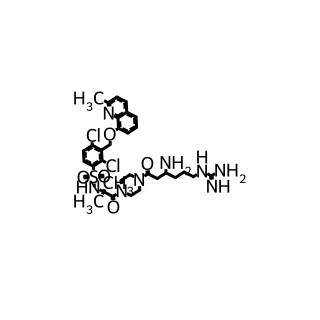 Cc1ccc2cccc(OCc3c(Cl)ccc(S(=O)(=O)NC(C)(C)C(=O)N4CCN(C(=O)CC(N)CCCNC(=N)N)CC4)c3Cl)c2n1